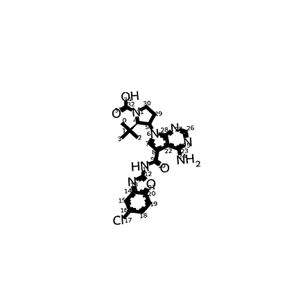 CC(C)(C)[C@@H]1C(n2cc(C(=O)Nc3nc4cc(Cl)ccc4o3)c3c(N)ncnc32)CCN1C(=O)O